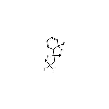 FC(F)(F)CC(F)(F)C1C=CC=CC1(F)F